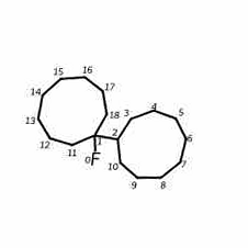 FC1(C2CCCCCCCC2)CCCCCCCC1